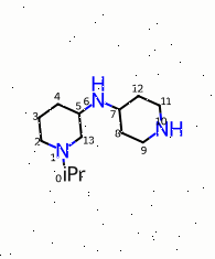 CC(C)N1CCCC(NC2CCNCC2)C1